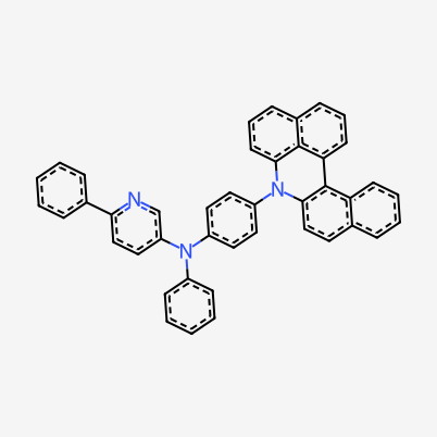 c1ccc(-c2ccc(N(c3ccccc3)c3ccc(N4c5ccc6ccccc6c5-c5cccc6cccc4c56)cc3)cn2)cc1